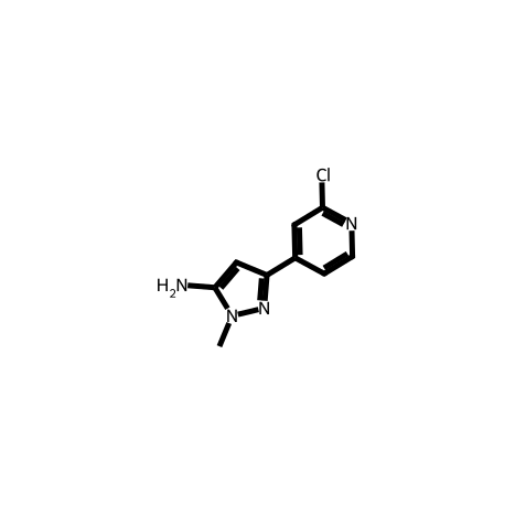 Cn1nc(-c2ccnc(Cl)c2)cc1N